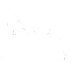 CCO[C@H]1CC[C@H](n2cc(NC(=O)c3csc(-c4cnn(C(C)OP(=O)(O)OCC(N)(CO)CO)c4)n3)c(-c3nc(F)ccc3F)n2)CC1